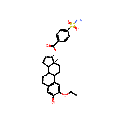 CCOc1cc2c(cc1O)CCC1C2CC[C@@]2(C)C1CC[C@@H]2OC(=O)c1ccc(S(N)(=O)=O)cc1